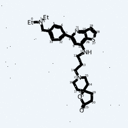 CCN(CC)Cc1ccc(-c2cc(NCCCN3CCC4(CCC(=O)O4)CC3)c3sccc3n2)cc1